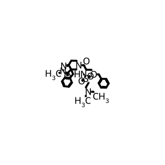 CCN(CC)CCS(=O)(=O)NC(COCc1ccccc1)C(=O)N1CCC2=NN(C)C(=O)C2(Cc2ccccc2)C1